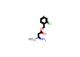 N[C@@H](CC(=O)OCc1ccccc1Cl)C(=O)O